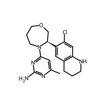 Cc1cc(N2CCCOC[C@H]2c2cc3c(cc2Cl)NCCC3)nc(N)n1